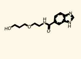 O=C(NCCOCCCO)c1ccc2nc[nH]c2c1